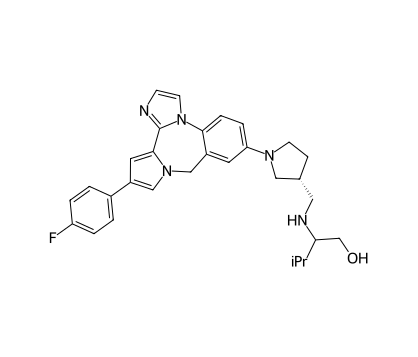 CC(C)C(CO)NC[C@H]1CCN(c2ccc3c(c2)Cn2cc(-c4ccc(F)cc4)cc2-c2nccn2-3)C1